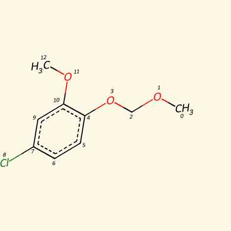 COCOc1ccc(Cl)cc1OC